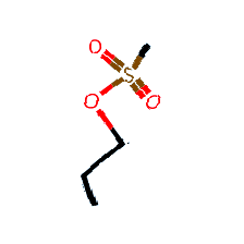 CC[CH]OS(C)(=O)=O